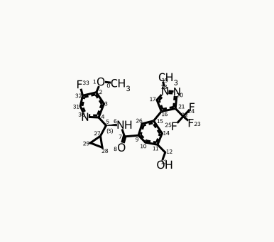 COc1cc([C@@H](NC(=O)c2cc(CO)cc(-c3cn(C)nc3C(F)(F)F)c2)C2CC2)ncc1F